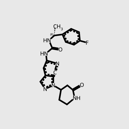 C[C@@H](NC(=O)Nc1cc2cnn(C3CCNC(=O)C3)c2cn1)c1ccc(F)cc1